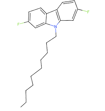 CCCCCCCCCCn1c2cc(F)ccc2c2ccc(F)cc21